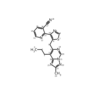 CCCc1c(Cc2scnc2-c2ncccc2C#N)ncn2nc(C)nc12